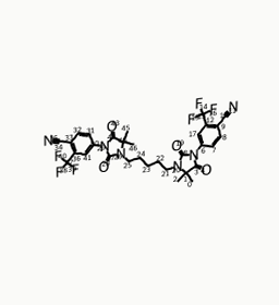 CC1(C)C(=O)N(c2ccc(C#N)c(C(F)(F)F)c2)C(=O)N1CCCCCN1C(=O)N(c2ccc(C#N)c(C(F)(F)F)c2)C(=O)C1(C)C